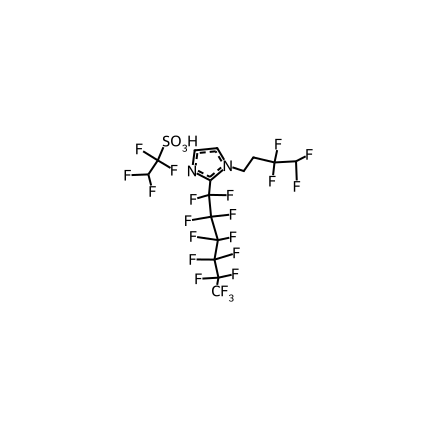 FC(F)C(F)(F)CCn1ccnc1C(F)(F)C(F)(F)C(F)(F)C(F)(F)C(F)(F)C(F)(F)F.O=S(=O)(O)C(F)(F)C(F)F